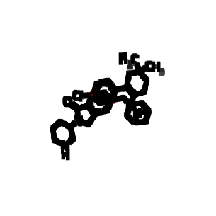 CC1(C)CCC(CN2C3CC2CN(Cc2ccc4c(c2)CN(C2CCCNC2)C4=O)C3)=C(c2ccc(Cl)cc2)C1